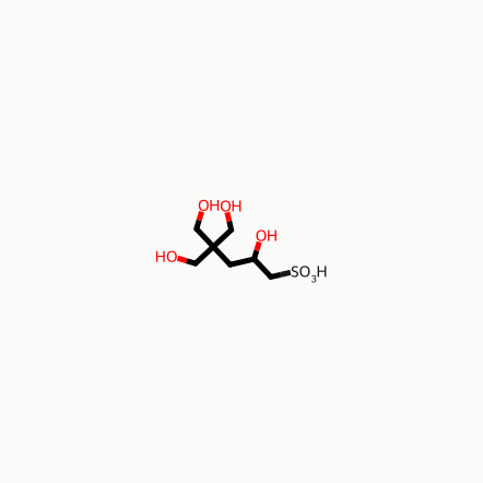 O=S(=O)(O)CC(O)CC(CO)(CO)CO